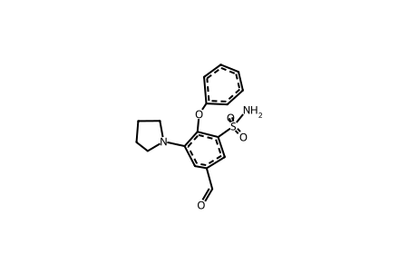 NS(=O)(=O)c1cc(C=O)cc(N2CCCC2)c1Oc1ccccc1